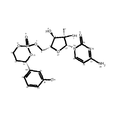 C[C@@]1(O)[C@H](O)[C@@H](COP2(=O)OCC[C@@H](c3cccc(Cl)c3)O2)O[C@H]1n1ccc(N)nc1=O